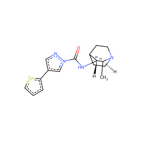 C[C@H]1[C@H](NC(=O)n2cc(-c3cccs3)cn2)C2CCN1CC2